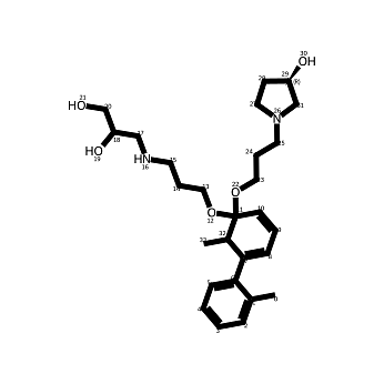 Cc1ccccc1C1=CC=CC(OCCCNCC(O)CO)(OCCCN2CC[C@@H](O)C2)C1C